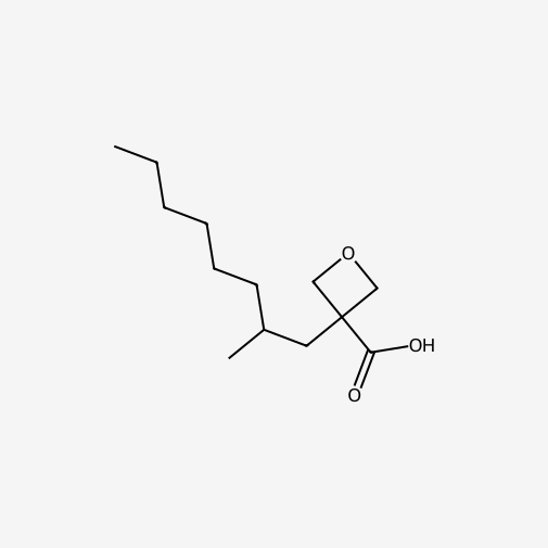 CCCCCCC(C)CC1(C(=O)O)COC1